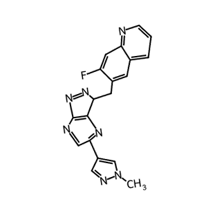 Cn1cc(-c2cnc3c(n2)C(Cc2cc4cccnc4cc2F)N=N3)cn1